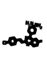 Cc1ccc2nc(C=Cc3ccc(Cl)cc3)nc(C3CCC(N)(N)CC3)c2c1